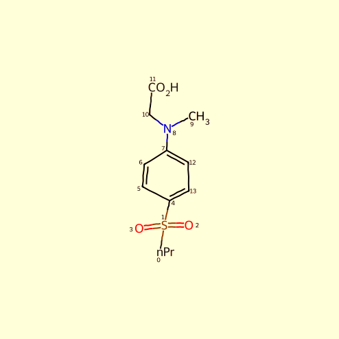 CCCS(=O)(=O)c1ccc(N(C)CC(=O)O)cc1